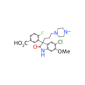 COc1cc2c(cc1Cl)C(CCCN1CCN(C)CC1)(c1cc(C(=O)O)ccc1F)C(=O)N2